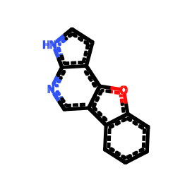 c1ccc2c(c1)oc1c3cc[nH]c3ncc21